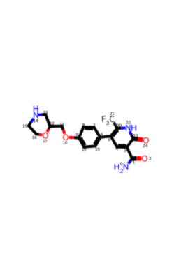 NC(=O)c1cc(-c2ccc(OCC3CNCCO3)cc2)c(C(F)(F)F)[nH]c1=O